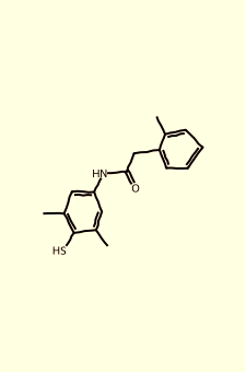 Cc1ccccc1CC(=O)Nc1cc(C)c(S)c(C)c1